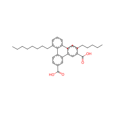 CCCCCCCCc1cccc(CCCCCCCC)c1-c1ccc(C(=O)O)cc1-c1cccc(C(=O)O)c1